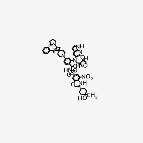 CC(C)c1ccccc1[C@@H]1CCCN1C1CC2(CCN(c3ccc(C(=O)NS(=O)(=O)c4cc5c(c([N+](=O)[O-])c4)N[C@H](C4CCC(C)(O)CC4)CO5)c(N4C[C@H]5COC[C@@H]5Oc5nc6[nH]ccc6cc54)c3)CC2)C1